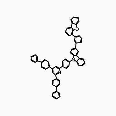 c1ccc(-c2ccc(-c3cc(-c4ccc(-c5ccccc5)cc4)nc(-c4ccc(-n5c6ccccc6c6cc(-c7cccc(-c8cccc9c8oc8ccccc89)c7)ccc65)cc4)c3)cc2)cc1